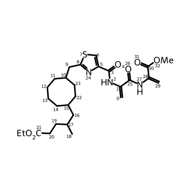 C=C(NC(=O)c1csc(CC2CCCCC(CC(C)CCC(=O)OCC)CC2)n1)C(=O)NC(=C)C(=O)OC